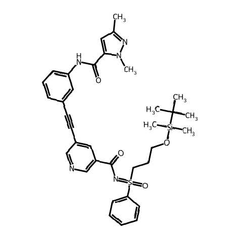 Cc1cc(C(=O)Nc2cccc(C#Cc3cncc(C(=O)N=S(=O)(CCCO[Si](C)(C)C(C)(C)C)c4ccccc4)c3)c2)n(C)n1